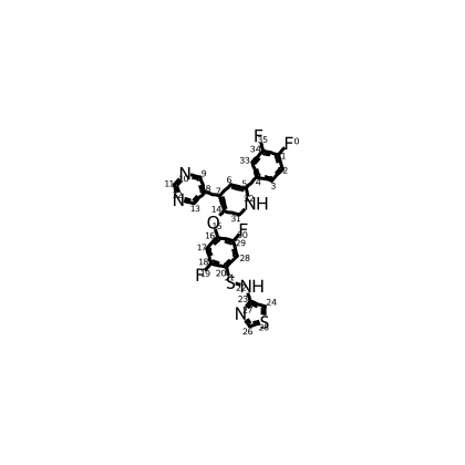 Fc1ccc(C2=CC(c3cncnc3)=C(Oc3cc(F)c(SNc4cscn4)cc3F)CN2)cc1F